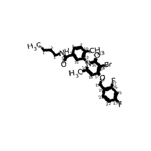 CCCCNC(=O)c1ccc(C)c(-n2c(C)cc(OCc3ccc(F)cc3F)c(Br)c2=O)c1